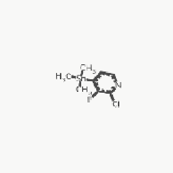 [CH3][Sn]([CH3])([CH3])[c]1ccnc(Cl)c1F